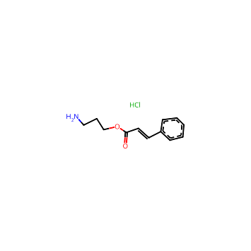 Cl.NCCCOC(=O)/C=C/c1ccccc1